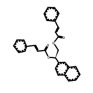 O=C(/C=C/c1ccccc1)OC[C@H](OC(=O)/C=C/c1ccccc1)c1ccc2ccccc2c1